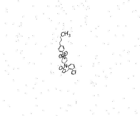 CCCCc1ccc(S(=O)(=O)N2CCC(N3C(=O)OCc4c(Cl)cccc43)CC2)cc1